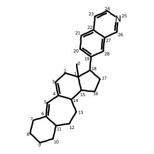 CC12CC=C3C=C4CCCCC4CCC3C1CCC2c1ccc2ccncc2c1